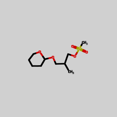 CC(COC1CCCCO1)COS(C)(=O)=O